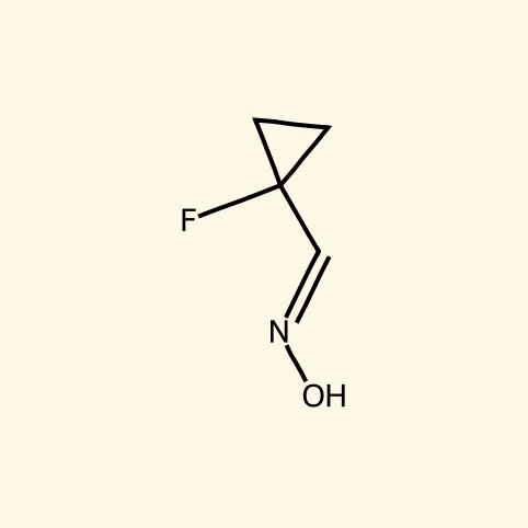 O/N=C/C1(F)CC1